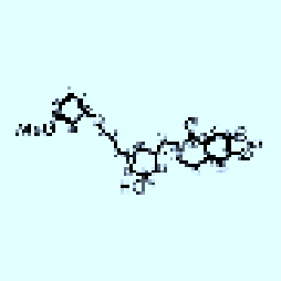 COc1cccc(OCCCN2CCCC(CN3CCc4cc5c(cc4C3=O)OCO5)C2)c1.Cl